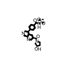 CS(=O)(=O)NC(=O)c1ccc(-c2cncc3ncc(C(=O)N4CC[C@@H](O)C4)cc23)cc1